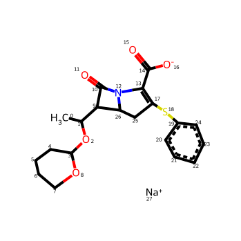 CC(OC1CCCCO1)C1C(=O)N2C(C(=O)[O-])=C(Sc3ccccc3)CC12.[Na+]